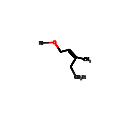 CCOCC=C(C)CC(=O)OCC